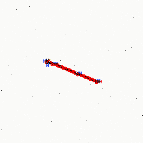 O=C(O)NCCOCCOCCOCCOCCOCCOCCOCCOCCC(=O)NCCOCCOCCOCCOCCOCCOCCOCCOCCOCCOCCOCCNC(=O)CCCC[C@@H]1SC[C@@H]2NC(=O)N[C@@H]21